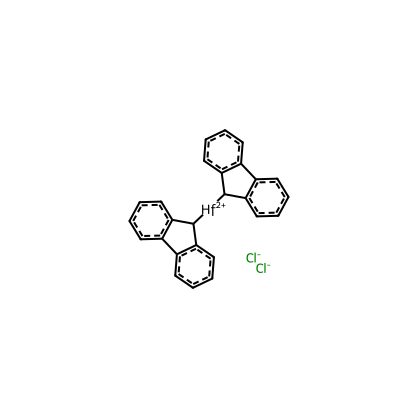 [Cl-].[Cl-].c1ccc2c(c1)-c1ccccc1[CH]2[Hf+2][CH]1c2ccccc2-c2ccccc21